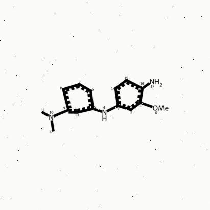 COc1cc(Nc2cccc(N(C)C)c2)ccc1N